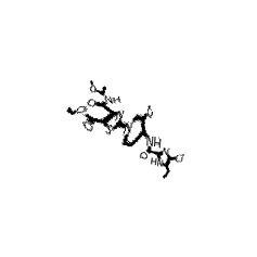 CCOC(=O)c1sc(N2CCC(NC(=O)c3nc(Cl)c(CC)[nH]3)C(OC)C2)nc1C(=O)NC(C)OC